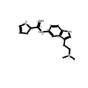 CN(C)CCc1c[nH]c2ccc(NC(=N)C3CC=CS3)cc12